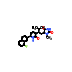 CC(C)C(CC1C(=O)NC(=O)N1C)c1ccc(-c2ccc3cccc(F)c3c2)[nH]c1=O